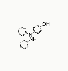 Oc1ccc(N(Nc2ccccc2)c2ccccc2)cc1